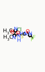 COc1cnc(Cl)cc1-c1cc(C)ncc1C(=O)Nc1nc2c(s1)CN(C(=O)c1ccc(C(F)F)cn1)C2